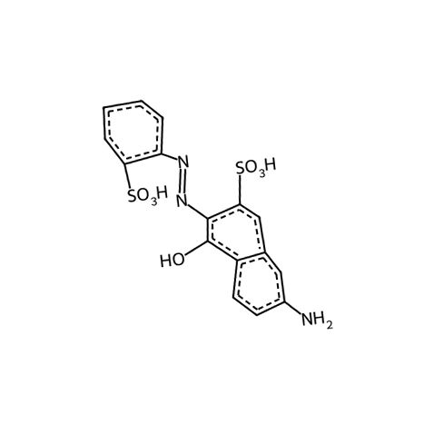 Nc1ccc2c(O)c(N=Nc3ccccc3S(=O)(=O)O)c(S(=O)(=O)O)cc2c1